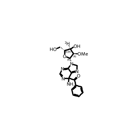 [2H][C@@]1(O)[C@@H](CO)O[C@@H](N2CN=C3C2=NC=NC3(N)C(=O)c2ccccc2)[C@@H]1OC